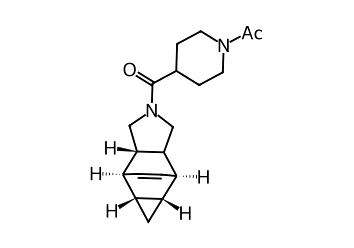 CC(=O)N1CCC(C(=O)N2CC3[C@@H](C2)[C@H]2C=C[C@@H]3[C@@H]3C[C@H]23)CC1